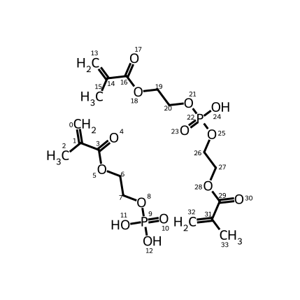 C=C(C)C(=O)OCCOP(=O)(O)O.C=C(C)C(=O)OCCOP(=O)(O)OCCOC(=O)C(=C)C